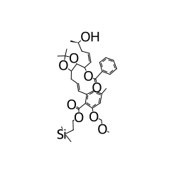 COCOc1cc(C)cc(/C=C/CC2OC(C)(C)OC2C(/C=C\C[C@@H](C)O)OC(=O)c2ccccc2)c1C(=O)OCC[Si](C)(C)C